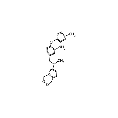 Cc1ccc(Oc2ccc(CC(C)c3ccc4c(c3)COOC4)cc2N)cc1